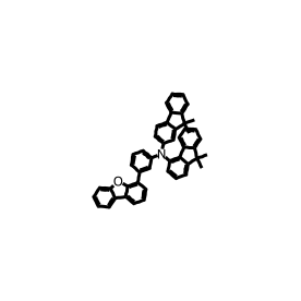 CC1(C)c2ccccc2-c2ccc(N(c3cccc(-c4cccc5c4oc4ccccc45)c3)c3cccc4c3-c3ccccc3C4(C)C)cc21